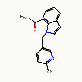 COC(=O)c1cccc2ccn(Cc3ccc(C(F)(F)F)nc3)c12